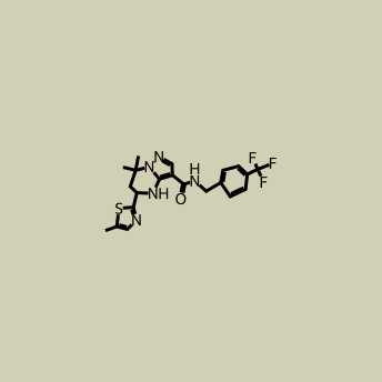 Cc1cnc(C2CC(C)(C)n3ncc(C(=O)NCc4ccc(C(F)(F)F)cc4)c3N2)s1